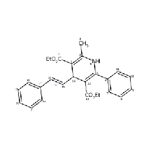 CCOC(=O)C1=C(C)NC(c2ccccc2)=C(C(=O)OCC)C1/C=C/c1ccccc1